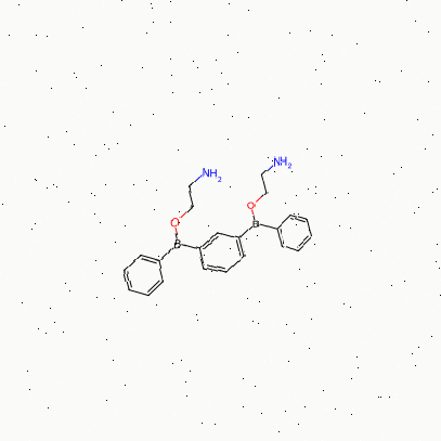 NCCOB(c1ccccc1)c1cccc(B(OCCN)c2ccccc2)c1